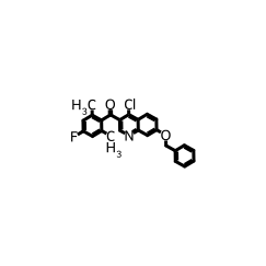 Cc1cc(F)cc(C)c1C(=O)c1cnc2cc(OCc3ccccc3)ccc2c1Cl